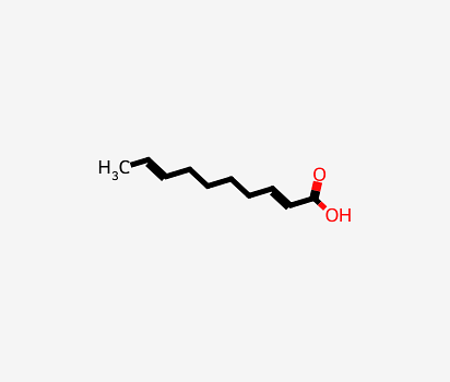 CC=CCCCCC=CC(=O)O